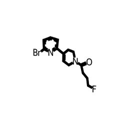 O=C(CCCF)N1CC=C(c2cccc(Br)n2)CC1